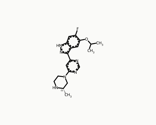 CC(C)Oc1cc2c(-c3cc(N4CCN[C@@H](C)C4)ncn3)n[nH]c2cc1F